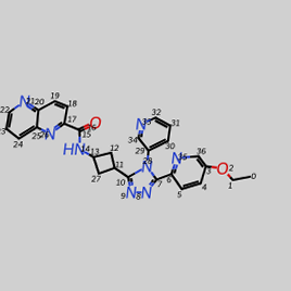 CCOc1ccc(-c2nnc(C3CC(NC(=O)c4ccc5ncccc5n4)C3)n2-c2cccnc2)nc1